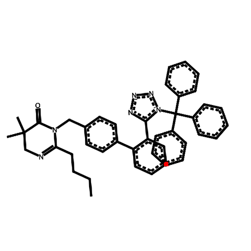 CCCCC1=NCC(C)(C)C(=O)N1Cc1ccc(-c2ccccc2-c2nnnn2C(c2ccccc2)(c2ccccc2)c2ccccc2)cc1